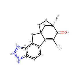 O=C1C(C(F)(F)F)=C2c3ccc4[nH]nnc4c3CC23CC[C@@H]1C3